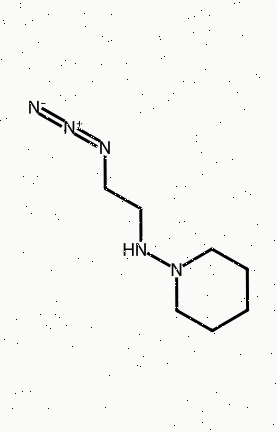 [N-]=[N+]=NCCNN1CCCCC1